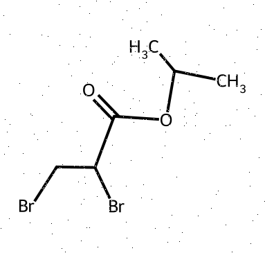 CC(C)OC(=O)C(Br)CBr